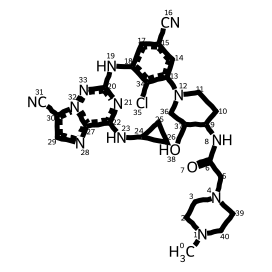 CN1CCN(CC(=O)NC2CCN(c3cc(C#N)cc(Nc4nc(NC5CC5)c5ncc(C#N)n5n4)c3Cl)CC2O)CC1